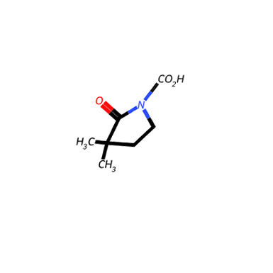 CC1(C)CCN(C(=O)O)C1=O